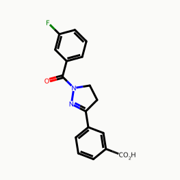 O=C(O)c1cccc(C2=NN(C(=O)c3cccc(F)c3)CC2)c1